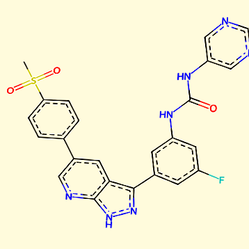 CS(=O)(=O)c1ccc(-c2cnc3[nH]nc(-c4cc(F)cc(NC(=O)Nc5cncnc5)c4)c3c2)cc1